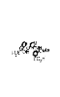 COc1cc(C(=O)O)ccc1Nc1nccc(Oc2cccc3c2C(O)N(C)C3)n1